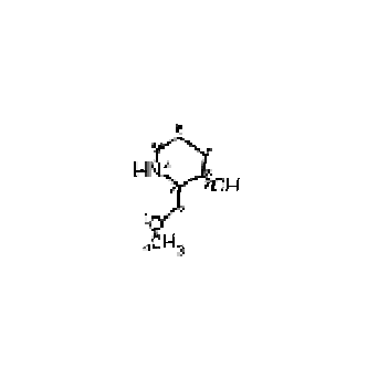 COCC1NCCCC1O